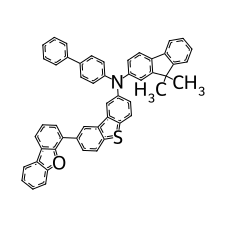 CC1(C)c2ccccc2-c2ccc(N(c3ccc(-c4ccccc4)cc3)c3ccc4sc5ccc(-c6cccc7c6oc6ccccc67)cc5c4c3)cc21